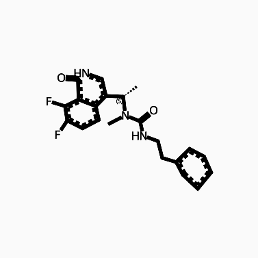 C[C@@H](c1c[nH]c(=O)c2c(F)c(F)ccc12)N(C)C(=O)NCCc1ccccc1